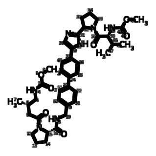 COC(=O)NC[C@@H](C)CC(=O)N1CCC[C@H]1C(=O)NCc1ccc(-c2ccc(-c3cnc(C4CCCN4C(=O)[C@@H](NC(=O)OC)C(C)C)[nH]3)cc2)cc1